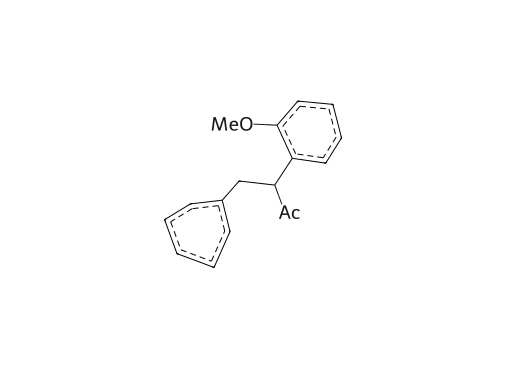 COc1ccccc1C(Cc1ccccc1)C(C)=O